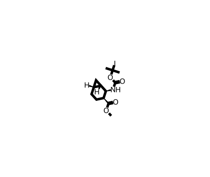 COC(=O)[C@H]1CC[C@@H]2C[C@@H]2[C@H]1NC(=O)OC(C)(C)I